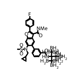 BC(B)(B)C(NC(=O)c1cccc(-c2cc3c(C(=O)NC)c(-c4ccc(F)cc4)oc3cc2N(CC2CC2)S(C)(=O)=O)c1)(C(B)(B)B)C(B)(B)B